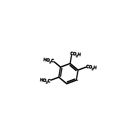 O=C(O)c1[c]cc(C(=O)O)c(C(=O)O)c1C(=O)O